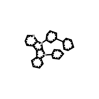 c1ccc(-c2cccc(-n3c4ncccc4c4c5ccccc5n(-c5ccccc5)c43)c2)cc1